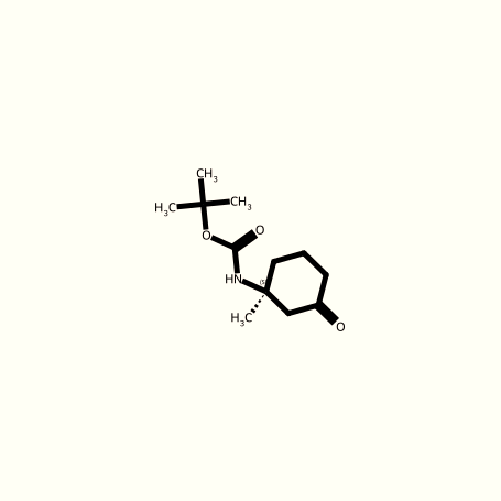 CC(C)(C)OC(=O)N[C@@]1(C)CCCC(=O)C1